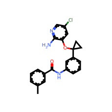 Cc1cccc(C(=O)Nc2cccc(C3(Oc4cc(Cl)cnc4N)CC3)c2)c1